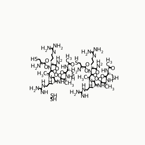 CC(=O)N[C@H](CS)C(=O)N[C@@H](C)C(=O)N[C@H](CCCNC(=N)N)C(=O)N[C@@H](C)C(=O)N(OC(=O)[C@@H](N)CS)[C@H](CCCN=C(N)N)C(N)=O.CC(=O)N[C@H](CS)C(=O)N[C@@H](C)C(=O)N[C@H](CCCNC(=N)N)C(=O)N[C@@H](C)C(=O)N(OC(=O)[C@@H](N)CS)[C@H](CCCN=C(N)N)C(N)=O.SS